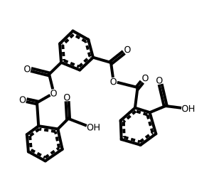 O=C(OC(=O)c1ccccc1C(=O)O)c1cccc(C(=O)OC(=O)c2ccccc2C(=O)O)c1